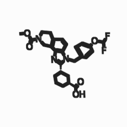 COC(=O)N1CCc2ccc3c(nc([C@H]4CCC[C@H](C(=O)O)C4)n3Cc3ccc(OC(F)F)cc3)c2C1